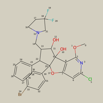 COc1nc(Cl)cc2c1C1(O)C(O)C(CN3CCC(F)(F)C3)C(c3ccccc3)C1(c1ccc(Br)cc1)O2